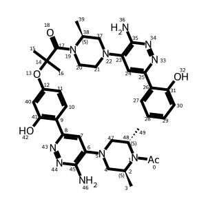 CC(=O)N1[C@@H](C)CN(c2cc(-c3ccc(OC(C)(C)C(=O)N4CCN(c5cc(-c6ccccc6O)nnc5N)C[C@@H]4C)cc3O)nnc2N)C[C@@H]1C